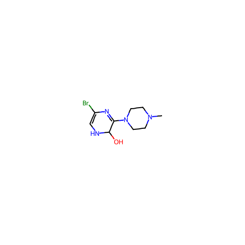 CN1CCN(C2=NC(Br)=CNC2O)CC1